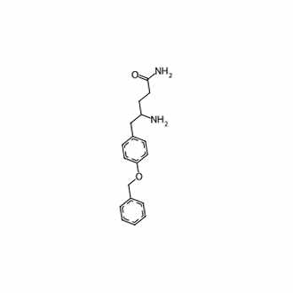 NC(=O)CCC(N)Cc1ccc(OCc2ccccc2)cc1